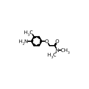 Cc1cc(OCC(=O)N(C)C)ccc1N